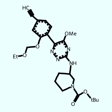 C#Cc1ccc(-c2nnc(NC3CCCN(C(=O)OC(C)(C)C)C3)nc2OC)c(OCOCC)c1